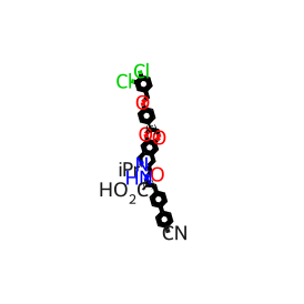 CC(C)N1Cc2cc3c(cc2CC1C(=O)N[C@@H](Cc1ccc(-c2ccc(C#N)cc2)cc1)C(=O)O)OC[C@H](c1ccc(OCc2ccc(Cl)c(Cl)c2)cc1)O3